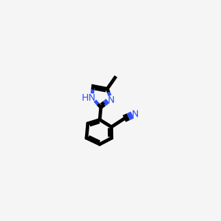 Cc1c[nH]c(-c2ccccc2C#N)n1